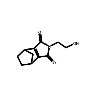 O=C1C2=C(C(=O)N1CCO)C1CCC2C1